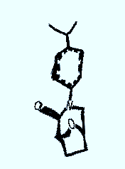 CC(C)c1ccc(N2CC3CCC(O3)C2=O)cc1